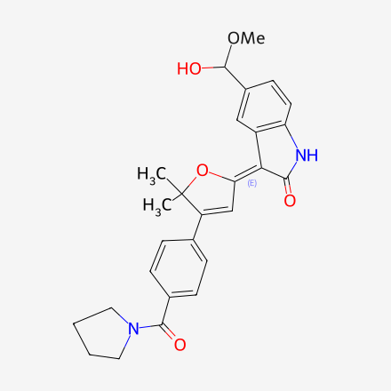 COC(O)c1ccc2c(c1)/C(=C1/C=C(c3ccc(C(=O)N4CCCC4)cc3)C(C)(C)O1)C(=O)N2